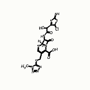 Cn1nnnc1SCC1=C(C(=O)O)N2C(=O)C(NC(=O)C(O)C3=NC(=N)SC3Cl)[C@H]2SC1